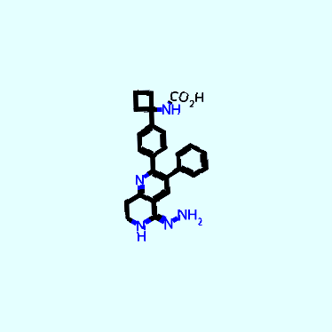 N/N=C1/NCCc2nc(-c3ccc(C4(NC(=O)O)CCC4)cc3)c(-c3ccccc3)cc21